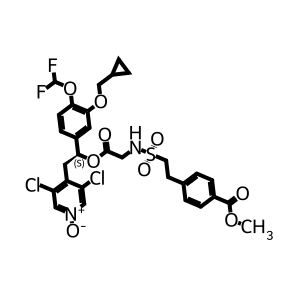 COC(=O)c1ccc(CCS(=O)(=O)NCC(=O)O[C@@H](Cc2c(Cl)c[n+]([O-])cc2Cl)c2ccc(OC(F)F)c(OCC3CC3)c2)cc1